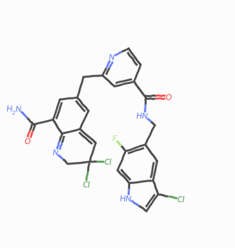 NC(=O)c1cc(Cc2cc(C(=O)NCc3cc4c(Cl)c[nH]c4cc3F)ccn2)cc2c1=NCC(Cl)(Cl)C=2